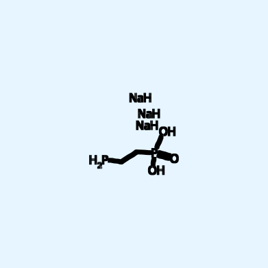 O=P(O)(O)CCP.[NaH].[NaH].[NaH]